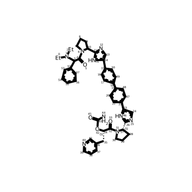 CCN(CC)C(C(=O)N1CCCC1c1ncc(-c2ccc(-c3ccc(-c4cnc([C@@H]5CCCN5C(=O)[C@H](Cc5cccnc5)OC(N)=O)[nH]4)cc3)cc2)[nH]1)c1ccccc1